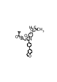 CN(C)CC(=O)N1CCC2(CC1)N=C(c1ccc(-c3ccc4occc4c3)cc1)N(CC1CN(C(=O)C3CC3)C1)C2=O